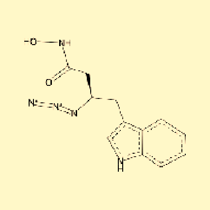 [N-]=[N+]=N[C@@H](CC(=O)NO)Cc1c[nH]c2ccccc12